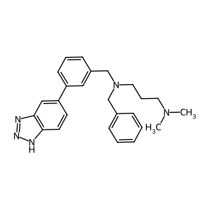 CN(C)CCCN(Cc1ccccc1)Cc1cccc(-c2ccc3[nH]nnc3c2)c1